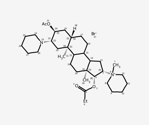 CCC(=O)O[C@H]1[C@@H]([N+]2(C)CCCCC2)CC2C3CC[C@H]4C[C@H](OC(C)=O)[C@@H](N5CCCCC5)C[C@]4(C)C3CC[C@@]21C.[Br-]